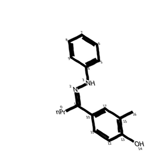 CCCC(=NNc1ccccc1)c1ccc(O)c(C)c1